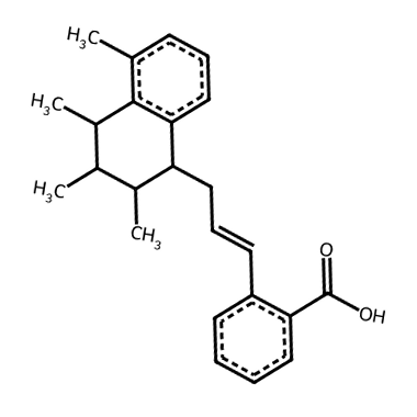 Cc1cccc2c1C(C)C(C)C(C)C2CC=Cc1ccccc1C(=O)O